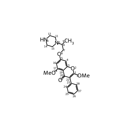 COc1oc2cc(OCC(C)N3CCNCC3)cc(OC)c2c(=O)c1-c1ccccc1